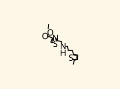 CCOC(=O)c1csc(CNCCCc2ccc(C)s2)n1